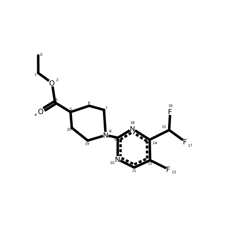 CCOC(=O)C1CCN(c2ncc(F)c(C(F)F)n2)CC1